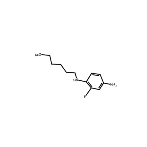 CC(=O)OCCCCCNc1ccc(N)cc1F